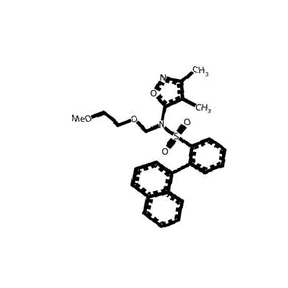 COCCOCN(c1onc(C)c1C)S(=O)(=O)c1ccccc1-c1cccc2ccccc12